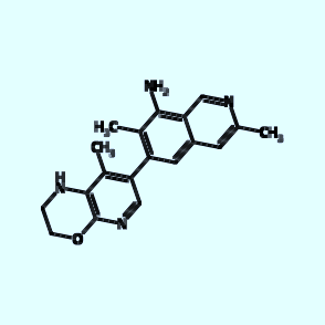 Cc1cc2cc(-c3cnc4c(c3C)NCCO4)c(C)c(N)c2cn1